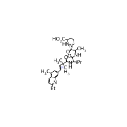 CCc1ccc2c(C)cc(/C=C/C(C)(C)C(=O)NC(C(=O)NC(C)C(=O)N3CCCC(C(=O)O)N3)C(C)C)cc2n1